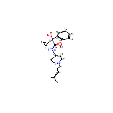 CC(C)=CCCN1CCC(NC(=O)C(O)(c2ccccc2)C2CC2)CC1